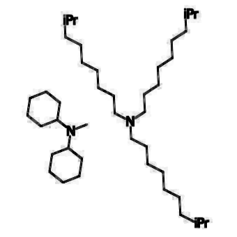 CC(C)CCCCCCCN(CCCCCCCC(C)C)CCCCCCCC(C)C.CN(C1CCCCC1)C1CCCCC1